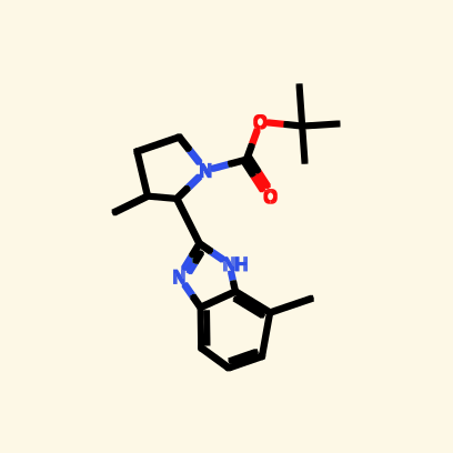 Cc1cccc2nc(C3C(C)CCN3C(=O)OC(C)(C)C)[nH]c12